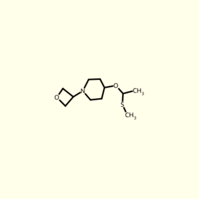 CSC(C)OC1CCN(C2COC2)CC1